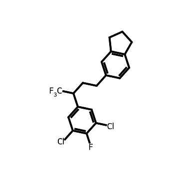 Fc1c(Cl)cc(C(CCc2ccc3c(c2)CCC3)C(F)(F)F)cc1Cl